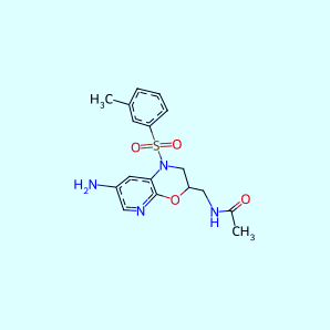 CC(=O)NCC1CN(S(=O)(=O)c2cccc(C)c2)c2cc(N)cnc2O1